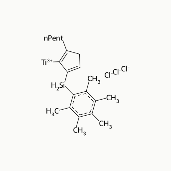 CCCCCC1=[C]([Ti+3])C([SiH2]c2c(C)c(C)c(C)c(C)c2C)=CC1.[Cl-].[Cl-].[Cl-]